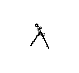 CCCCCCCCCCCCCC(=O)OCC(CNC(=O)OCc1ccccc1)OC(=O)CCCCCCCCCCCCC